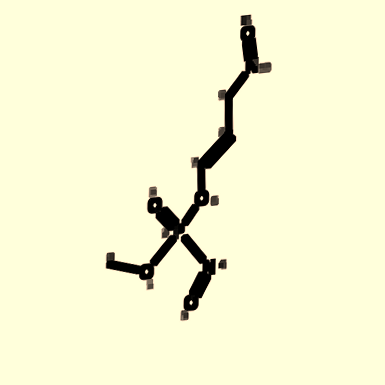 COP(=O)(N=O)O/C=C/CN=O